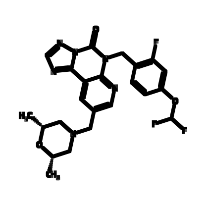 C[C@@H]1CN(Cc2cnc3c(c2)c2ncnn2c(=O)n3Cc2ccc(OC(F)F)cc2F)C[C@H](C)O1